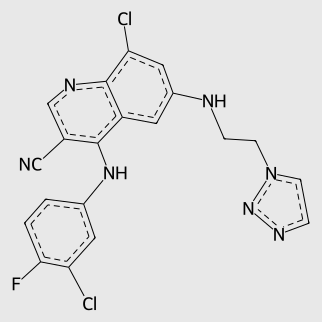 N#Cc1cnc2c(Cl)cc(NCCn3ccnn3)cc2c1Nc1ccc(F)c(Cl)c1